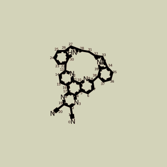 N#Cc1nc2c3ccc4nc3c3nc(ccc3c2nc1C#N)-c1cccc2cc([nH]c12)Cc1cc2cccc-4c2[nH]1